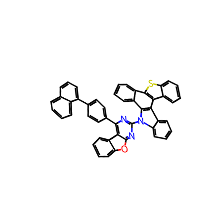 c1ccc2c(-c3ccc(-c4nc(-n5c6ccccc6c6c7c8ccccc8sc7c7ccccc7c65)nc5oc6ccccc6c45)cc3)cccc2c1